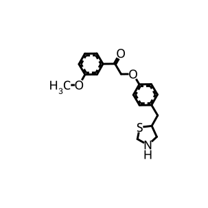 COc1cccc(C(=O)COc2ccc(CC3CNCS3)cc2)c1